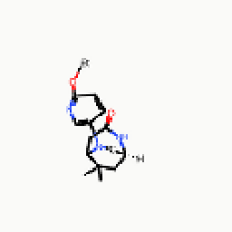 CCOc1ccc(N2C[C@@H]3CC(C)(C)C2CC(=O)N3)cn1